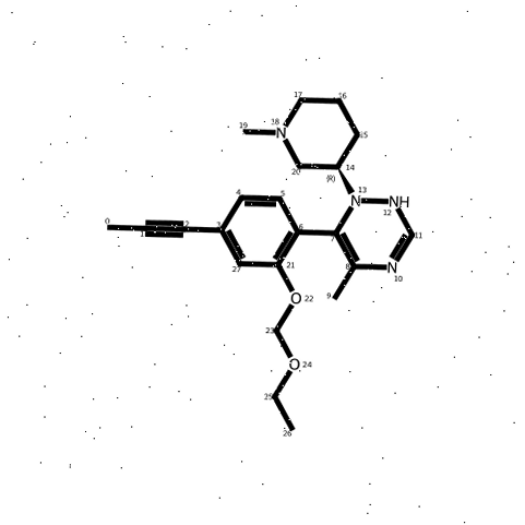 CC#Cc1ccc(C2=C(C)N=CNN2[C@@H]2CCCN(C)C2)c(OCOCC)c1